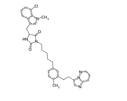 Cc1ccc(CCCCCN2C(=O)NC(Cc3cn(C)c4c(Cl)cccc34)C2=O)cc1CCc1cnc2cccnn12